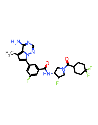 Nc1ncnn2c(-c3cc(F)cc(C(=O)N[C@@H]4CN(C(=O)C5CCC(F)(F)CC5)C[C@@H]4F)c3)cc(C(F)(F)F)c12